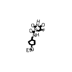 CCOC1CCC(CNC(=O)n2cc(F)c(=O)[nH]c2=O)CC1